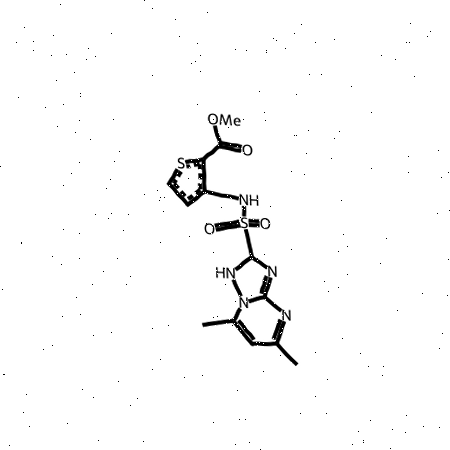 COC(=O)c1sccc1NS(=O)(=O)C1N=C2N=C(C)C=C(C)N2N1